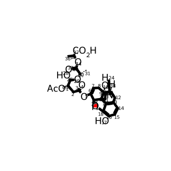 CC(=O)O[C@@H](CC(=O)OC1=CC[C@@]2(O)[C@H]3Cc4ccc(O)c5c4C2(CCN3C)[C@H]1O5)C(O)O[C@@H](C)C(=O)O[C@@H](C)C(=O)O